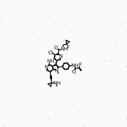 C=C(F)C(=O)Nc1ccc(-c2c(-c3cnc(C(=O)NCC4(F)CC4)c(Cl)c3)c3c(N)ncc(C#CC4(NC)CC4)c3n2C)cc1